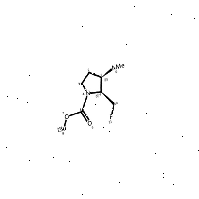 CN[C@@H]1CCN(C(=O)OC(C)(C)C)[C@@H]1CF